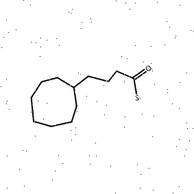 O=C([S])CCCC1CCCCCCC1